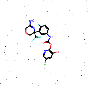 NC1=N[C@@](c2cc(NC(=O)Oc3ncc(Cl)cc3O)ccc2F)(C(F)F)COC1